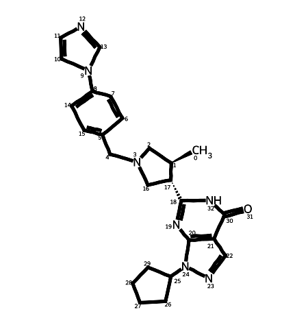 C[C@@H]1CN(Cc2ccc(-n3ccnc3)cc2)C[C@H]1c1nc2c(cnn2C2CCCC2)c(=O)[nH]1